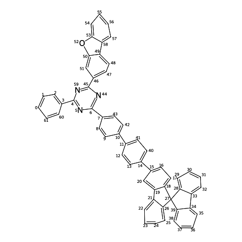 c1ccc(-c2nc(-c3ccc(-c4ccc(-c5ccc6c(c5)-c5ccccc5C65c6ccccc6-c6ccccc65)cc4)cc3)nc(-c3ccc4c(c3)oc3ccccc34)n2)cc1